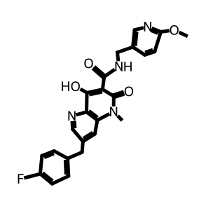 COc1ccc(CNC(=O)c2c(O)c3ncc(Cc4ccc(F)cc4)cc3n(C)c2=O)cn1